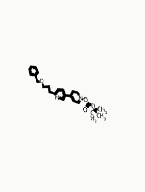 CC(C)(C)OC(=O)ON1CC=C(c2ccc(CCCOCc3ccccc3)nc2)CC1